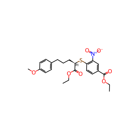 CCOC(=O)c1ccc(S[C@H](CCCc2ccc(OC)cc2)C(=O)OCC)c([N+](=O)[O-])c1